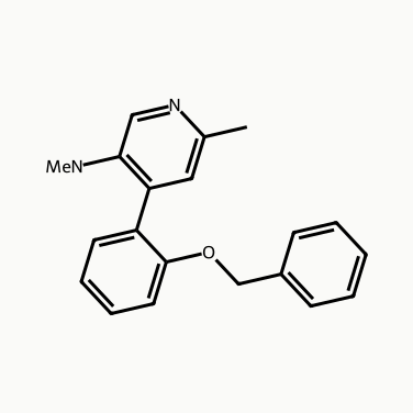 CNc1cnc(C)cc1-c1ccccc1OCc1ccccc1